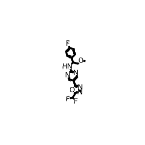 COCC(Nc1ncc(-c2nnc(C(F)F)o2)cn1)c1ccc(F)cc1